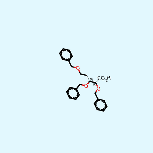 O=C(O)[C@H](OCc1ccccc1)[C@@H](CCOCc1ccccc1)OCc1ccccc1